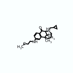 COCCNc1ccc2c(c1)[C@@]1(C)CCCN(CC3CC3)[C@H](C2=O)[C@@H]1C